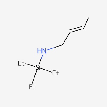 CC=CCN[Si](CC)(CC)CC